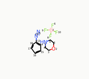 C1COCCN1.F[B-](F)(F)F.N#[N+]c1ccccc1